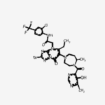 CCc1c(N2CC[C@@H](C)N(C(=O)c3ncnc(C)c3O)CC2)c(=O)n2nc(Br)nc2n1CC(=O)Nc1ccc(C(F)(F)F)cc1Cl